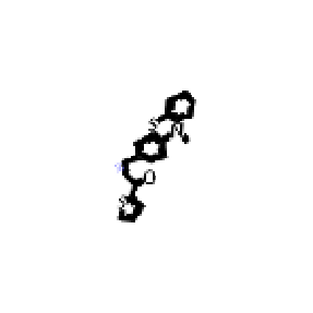 CN1c2ccccc2Sc2cc(/C=C\C(=O)c3cccs3)ccc21